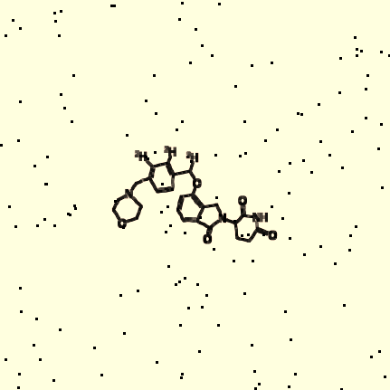 [2H]c1c(CN2CCOCC2)ccc(C([2H])Oc2cccc3c2CN(C2CCC(=O)NC2=O)C3=O)c1[2H]